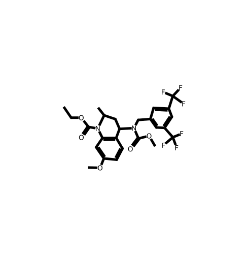 CCOC(=O)N1c2cc(OC)ccc2C(N(Cc2cc(C(F)(F)F)cc(C(F)(F)F)c2)C(=O)OC)CC1C